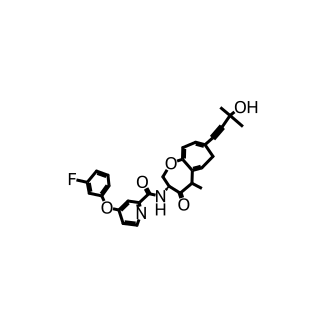 CC1C(=O)[C@@H](NC(=O)c2cc(Oc3cccc(F)c3)ccn2)COC2=CC=C(C#CC(C)(C)O)CC=C21